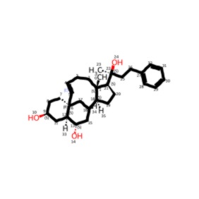 C[C@]12CC/C=C/[C@]34CC[C@H](O)C[C@@H]3[C@@H](O)C[C@H](C4)[C@@H]1CC[C@@H]2[C@@](C)(O)CCc1ccccc1